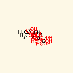 C[C@@H]1OC(CO)[C@@H](O[C@@H]2OC(CO)[C@@H](O[C@@H]3OC(CO)[C@@H](O)C(O[C@H]4O[C@H](CO)[C@@H](O)C(O)C4O)C3O)C(O)[C@@H]2C)C(O)[C@@H]1C